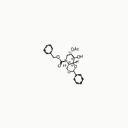 CC(=O)O[C@H]1CN(C(=O)OCc2ccccc2)[C@@H]2COC(c3ccccc3)O[C@H]2[C@@H]1O